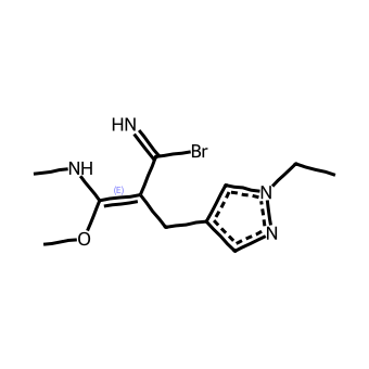 CCn1cc(C/C(C(=N)Br)=C(/NC)OC)cn1